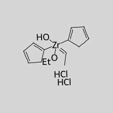 C[CH]=[Zr]([OH])([O]CC)([C]1=CC=CC1)[C]1=CC=CC1.Cl.Cl